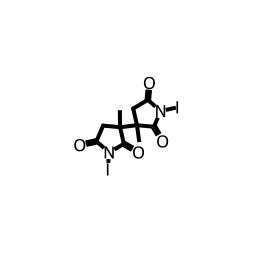 CC1(C2(C)CC(=O)N(I)C2=O)CC(=O)N(I)C1=O